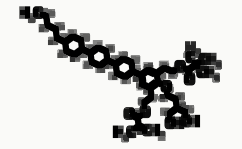 C=C(C)C(=O)OCCc1cc(C2CCC(C3CCC(C4CCC(CCCCC)CC4)CC3)CC2)cc(CCOC(=O)C(C)(C)C)c1OCCC(CO)CO